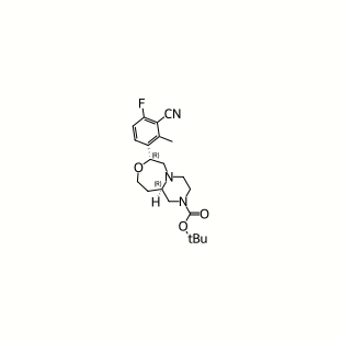 Cc1c([C@@H]2CN3CCN(C(=O)OC(C)(C)C)C[C@H]3CCO2)ccc(F)c1C#N